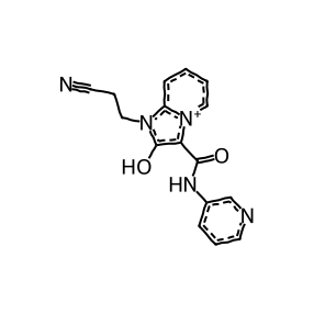 N#CCCn1c(O)c(C(=O)Nc2cccnc2)[n+]2ccccc12